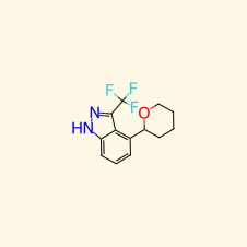 FC(F)(F)c1n[nH]c2cccc(C3CCCCO3)c12